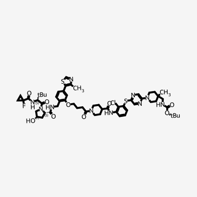 Cc1ncsc1-c1ccc(CNC(=O)[C@@H]2C[C@@H](O)CN2C(=O)[C@@H](NC(=O)C2(F)CC2)C(C)(C)C)c(OCCCC(=O)N2CCC(C(=O)Nc3cccc(Sc4cnc(N5CCC(C)(CNC(=O)OC(C)(C)C)CC5)cn4)c3Cl)CC2)c1